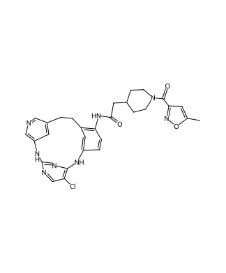 Cc1cc(C(=O)N2CCC(CC(=O)Nc3ccc4cc3CCc3cncc(c3)Nc3ncc(Cl)c(n3)N4)CC2)no1